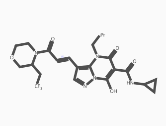 CC(C)Cn1c(=O)c(C(=O)NC2CC2)c(O)n2ncc(/C=C/C(=O)N3CCOCC3CC(F)(F)F)c12